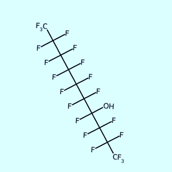 OC(F)(C(F)(F)C(F)(F)C(F)(F)F)C(F)(F)C(F)(F)C(F)(F)C(F)(F)C(F)(F)C(F)(F)F